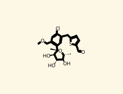 COCc1cc(Cl)c(Cc2ccc(C=O)s2)cc1[C@]1(C)O[C@H](C)[C@@H](O)[C@H](O)[C@H]1O